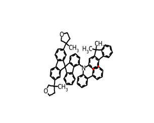 CC1(c2ccc3c(c2)C2(c4cc(C5(C)CCOC5)ccc4-3)c3ccccc3-c3c(N(c4ccc5c(c4)C(C)(C)c4ccccc4-5)c4ccccc4-c4ccccc4)cccc32)CCOC1